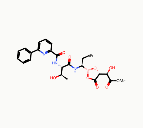 COC(=O)[C@H](O)[C@H]1OB([C@H](CC(C)C)NC(=O)[C@@H](NC(=O)c2cccc(-c3ccccc3)n2)[C@@H](C)O)OC1=O